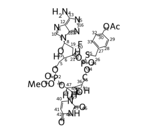 COOP1(=O)OC[C@H]2O[C@@H](n3cnc4c(N)ncnc43)[C@H](F)[C@@H]2OP(=O)(SCc2ccc(OC(C)=O)cc2)OC[C@H]2O[C@@H](n3ccc(=O)[nH]c3=O)[C@H](O1)[C@@H]2F